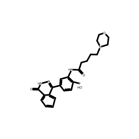 Cl.O=C(CCCCN1CCOCC1)Nc1cc(-c2n[nH]c(=O)c3ccccc23)ccc1F